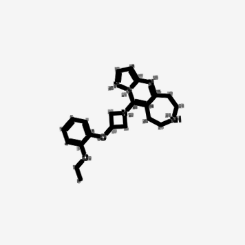 CCOc1ccccc1OC1CN(c2c3c(nc4ccnn24)CCNCC3)C1